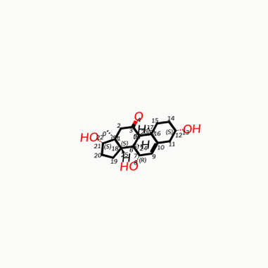 C[C@]12CC(=O)[C@H]3[C@@H]([C@@H](O)C=C4C[C@@H](O)CC[C@@]43C)[C@@H]1CC[C@@H]2O